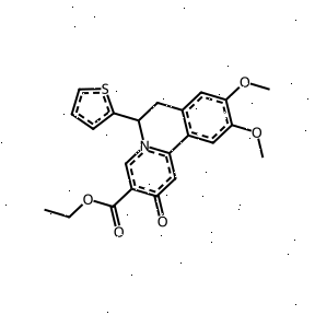 CCOC(=O)c1cn2c(cc1=O)-c1cc(OC)c(OC)cc1CC2c1cccs1